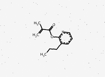 C=C(C)C(=O)Oc1ncccc1CCC